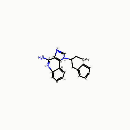 COCC(Cc1ccccc1)n1cnc2c(N)nc3ccccc3c21